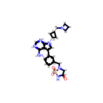 Nc1ncnc2c1c(-c1cccc(CN3CC(=O)NS3(=O)=O)c1)cn2[C@H]1C[C@@H](CN2CCC2)C1